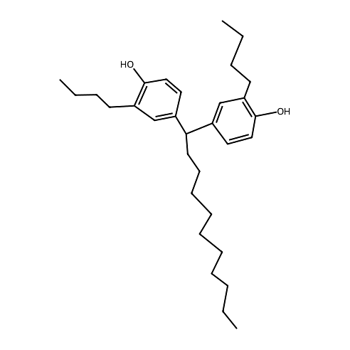 CCCCCCCCCCC(c1ccc(O)c(CCCC)c1)c1ccc(O)c(CCCC)c1